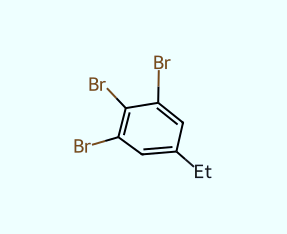 CCc1cc(Br)c(Br)c(Br)c1